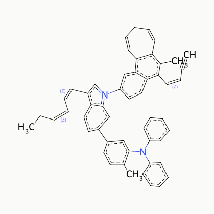 C#C/C=C\c1c(C)c2c(c3cc(-n4cc(/C=C\C=C/CC)c5ccc(-c6ccc(C)c(N(c7ccccc7)c7ccccc7)c6)cc54)ccc13)C=CCC=C2